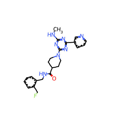 CNc1nc(-c2cccnc2)nc(N2CCC(C(=O)NCc3ccccc3CF)CC2)n1